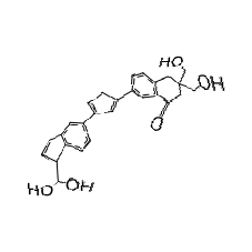 O=C1CC(CO)(CO)Cc2ccc(C3=CC(c4ccc5c(c4)C=CC5C(O)O)=CC3)cc21